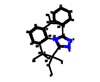 CCC(C)(C)c1nnc(-c2ccccc2)n1-c1c(C(C)C)cccc1C(C)C